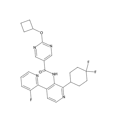 O=C(Nc1c(-c2ncccc2F)ccnc1C1CCC(F)(F)CC1)c1cnc(OC2CCC2)nc1